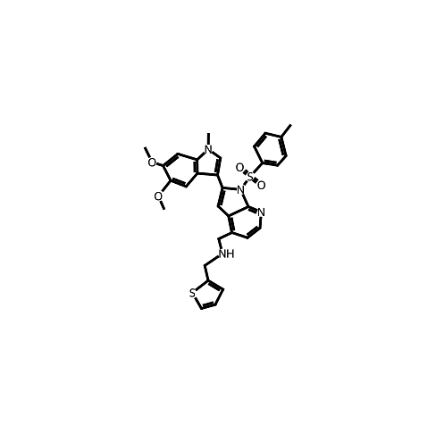 COc1cc2c(-c3cc4c(CNCc5cccs5)ccnc4n3S(=O)(=O)c3ccc(C)cc3)cn(C)c2cc1OC